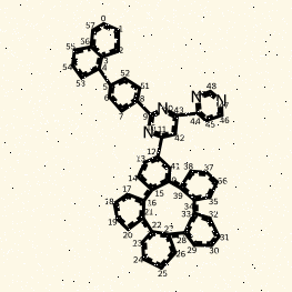 c1ccc2c(-c3ccc(-c4nc(-c5ccc6c7ccccc7c7ccccc7c7ccccc7c7ccccc7c6c5)cc(-c5ccncn5)n4)cc3)cccc2c1